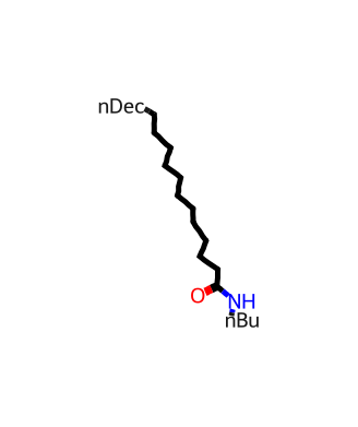 CCCCCCCCCCCCCCCCCCCCCC(=O)NCCCC